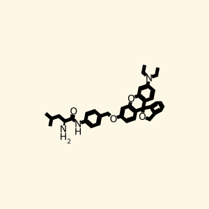 CCN(CC)c1ccc2c(c1)Oc1cc(OCc3ccc(NC(=O)[C@@H](N)CC(C)C)cc3)ccc1C21OCc2ccccc21